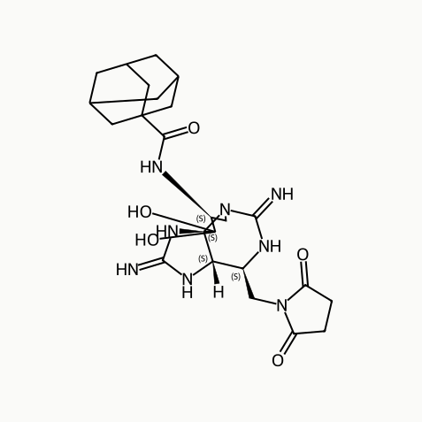 N=C1N[C@H]2[C@H](CN3C(=O)CCC3=O)NC(=N)N3C[C@H](NC(=O)C45CC6CC(CC(C6)C4)C5)C(O)(O)[C@]23N1